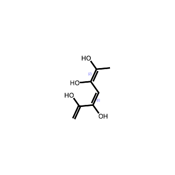 C=C(O)/C(O)=C\C(O)=C(/C)O